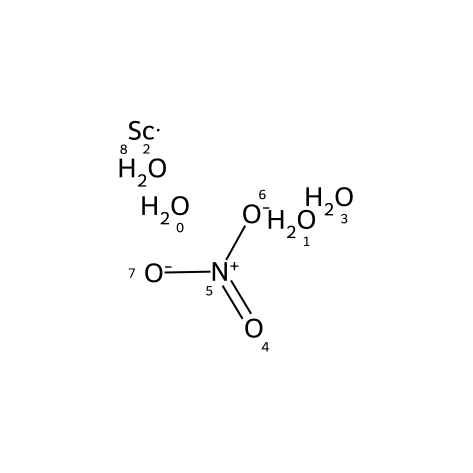 O.O.O.O.O=[N+]([O-])[O-].[Sc]